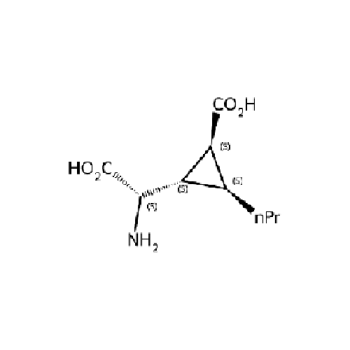 CCC[C@@H]1[C@H](C(=O)O)[C@H]1[C@H](N)C(=O)O